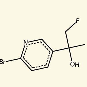 CC(O)(CF)c1ccc(Br)nc1